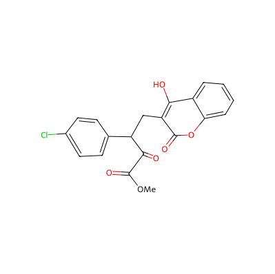 COC(=O)C(=O)C(Cc1c(O)c2ccccc2oc1=O)c1ccc(Cl)cc1